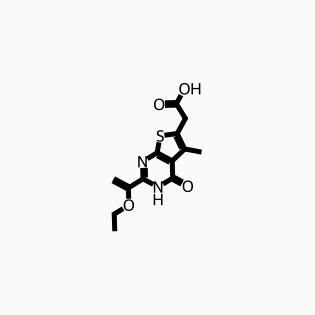 C=C(OCC)c1nc2sc(CC(=O)O)c(C)c2c(=O)[nH]1